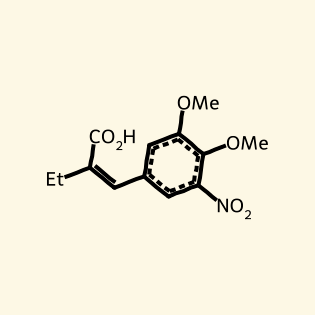 CCC(=Cc1cc(OC)c(OC)c([N+](=O)[O-])c1)C(=O)O